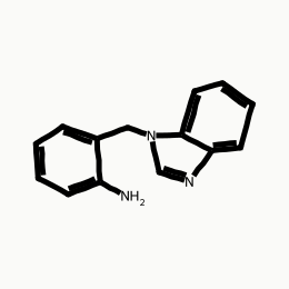 Nc1ccccc1Cn1cnc2ccccc21